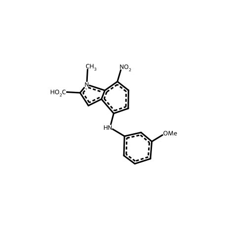 COc1cccc(Nc2ccc([N+](=O)[O-])c3c2cc(C(=O)O)n3C)c1